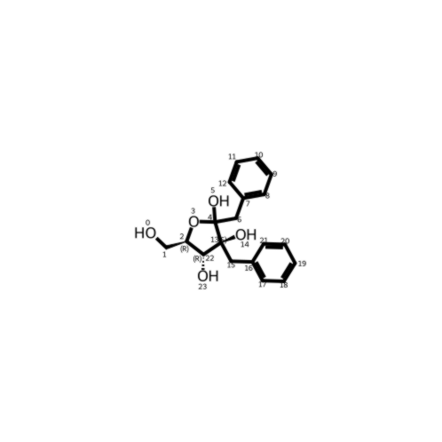 OC[C@H]1OC(O)(Cc2ccccc2)[C@](O)(Cc2ccccc2)[C@@H]1O